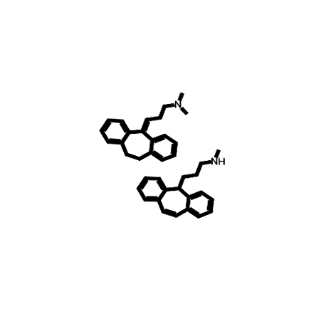 CN(C)CCC=C1c2ccccc2CCc2ccccc21.CNCCCC1c2ccccc2C=Cc2ccccc21